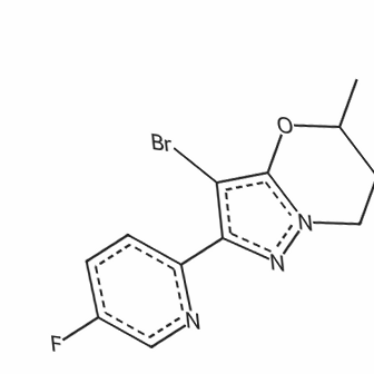 CC1CCn2nc(-c3ccc(F)cn3)c(Br)c2O1